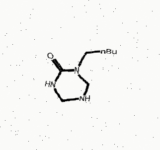 CCCCCN1CNCNC1=O